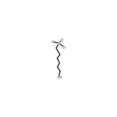 OCCCCCC[Si](Cl)(Cl)Cl